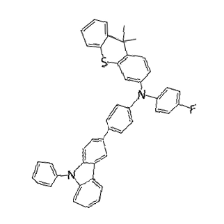 CC1(C)c2ccccc2Sc2cc(N(c3ccc(F)cc3)c3ccc(-c4ccc5c(c4)c4ccccc4n5-c4ccccc4)cc3)ccc21